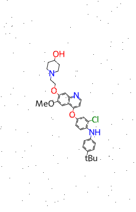 COc1cc2c(Oc3ccc(Nc4ccc(C(C)(C)C)cc4)c(Cl)c3)ccnc2cc1OCCN1CCC(O)CC1